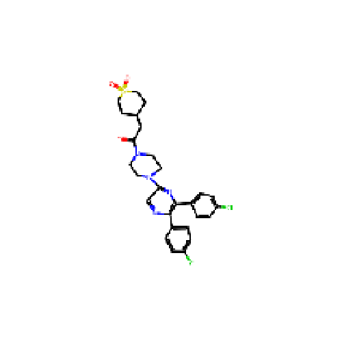 O=C(CC1CCS(=O)(=O)CC1)N1CCN(c2cnc(-c3ccc(Cl)cc3)c(-c3ccc(Cl)cc3)n2)CC1